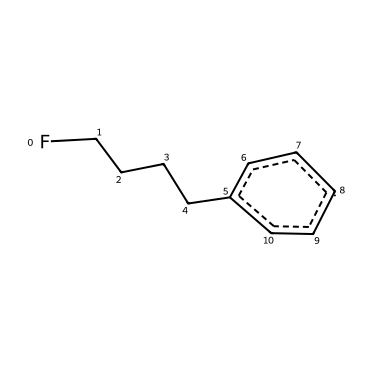 FCCCCc1cc[c]cc1